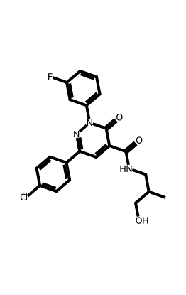 CC(CO)CNC(=O)c1cc(-c2ccc(Cl)cc2)nn(-c2cccc(F)c2)c1=O